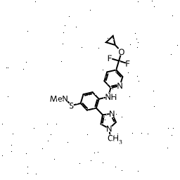 CNSc1ccc(Nc2ccc(C(F)(F)OC3CC3)cn2)c(-c2cn(C)cn2)c1